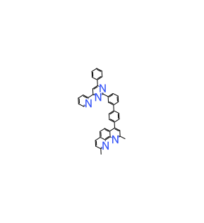 Cc1ccc2ccc3c(-c4ccc(-c5cccc(-c6nc(-c7ccccc7)cc(-c7ccccn7)n6)c5)cc4)cc(C)nc3c2n1